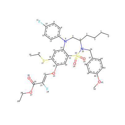 CCCCC1CN(c2ccc(F)cc2)c2cc(SCC)c(O/C=C(\F)C(=O)OCC)cc2S(=O)(=O)N1Cc1ccc(OC)cc1